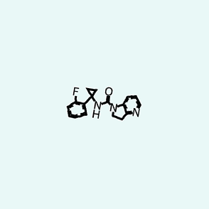 O=C(NC1(c2ccccc2F)CC1)N1CCc2ncccc21